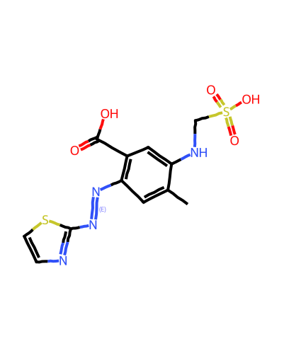 Cc1cc(/N=N/c2nccs2)c(C(=O)O)cc1NCS(=O)(=O)O